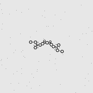 Cc1ccc(-c2ccccc2)cc1N(c1ccc2cc3c(cc2c1)oc1cc2oc4cc5cc(N(c6cc(-c7ccccc7)ccc6C)c6c(C)cccc6C)ccc5cc4c2cc13)c1c(C)cccc1C